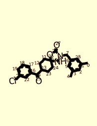 Cc1cc(C)cc(CN2NC3(CCC(C(=O)c4cccc(Cl)c4)CC3)OC2=O)c1